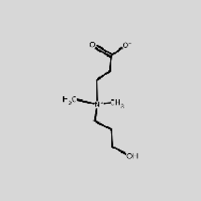 C[N+](C)(CCCO)CCC(=O)[O-]